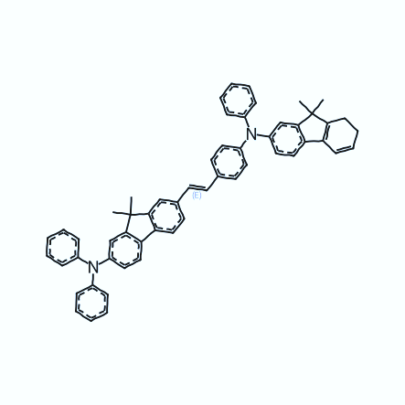 CC1(C)C2=C(C=CCC2)c2ccc(N(c3ccccc3)c3ccc(/C=C/c4ccc5c(c4)C(C)(C)c4cc(N(c6ccccc6)c6ccccc6)ccc4-5)cc3)cc21